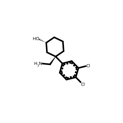 NC[C@]1(c2ccc(Cl)c(Cl)c2)CCC[C@@H](O)C1